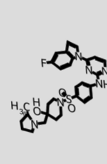 C[C@@H]1CCCN1CC1(O)CCN(S(=O)(=O)c2ccc(Nc3nccc(-n4ccc5cc(F)ccc54)n3)cc2)CC1